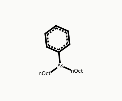 CCCCCCCC[As](CCCCCCCC)c1ccccc1